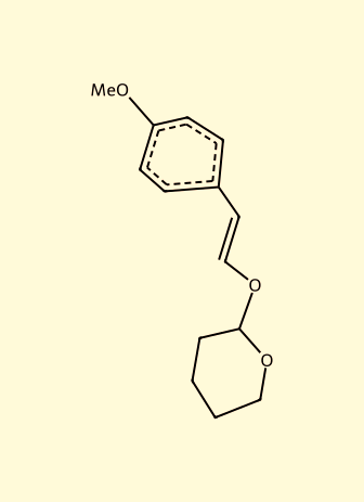 COc1ccc(C=COC2CCCCO2)cc1